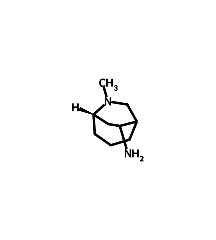 CN1CC2CCC[C@H]1CC2N